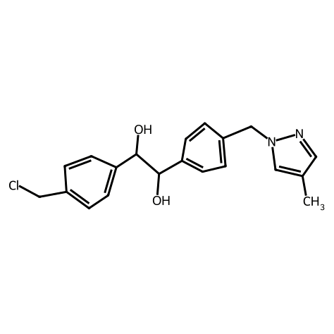 Cc1cnn(Cc2ccc(C(O)C(O)c3ccc(CCl)cc3)cc2)c1